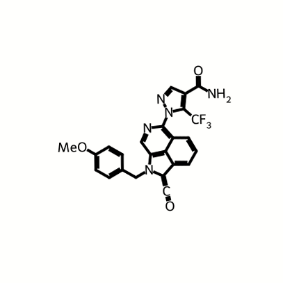 COc1ccc(Cn2c(=C=O)c3cccc4c(-n5ncc(C(N)=O)c5C(F)(F)F)ncc2c43)cc1